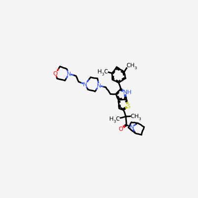 Cc1cc(C)cc(-c2[nH]c3sc(C(C)(C)C(=O)N4C5CCC4CC5)cc3c2CCN2CCN(CCN3CCOCC3)CC2)c1